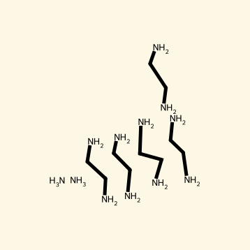 N.N.NCCN.NCCN.NCCN.NCCN.NCCN